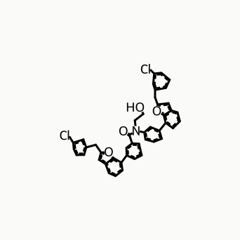 O=C(c1cccc(-c2cccc3cc(Cc4cccc(Cl)c4)oc23)c1)N(CCO)c1cccc(-c2cccc3cc(Cc4cccc(Cl)c4)oc23)c1